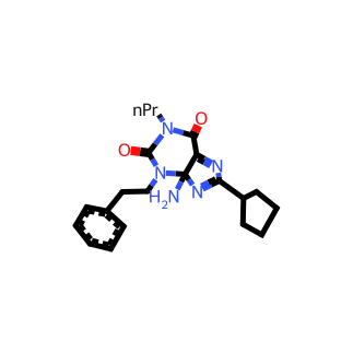 CCCN1C(=O)C2=NC(C3CCCC3)=NC2(N)N(CCc2ccccc2)C1=O